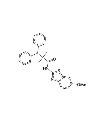 COc1ccc2nc(NC(=O)C(C)(C)C(c3ccccc3)c3ccccc3)sc2c1